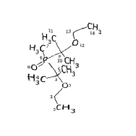 CCOC(C)(C)P(C)(=O)C(C)(C)OCC